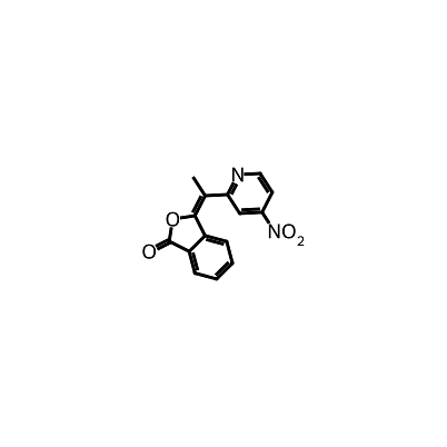 CC(=C1OC(=O)c2ccccc21)c1cc([N+](=O)[O-])ccn1